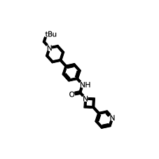 CC(C)(C)CN1CCC(c2ccc(NC(=O)N3CC(c4cccnc4)C3)cc2)CC1